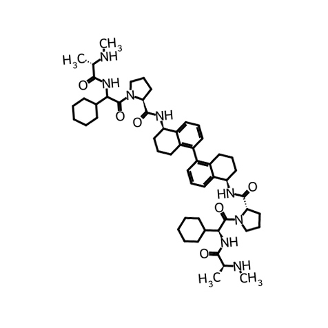 CN[C@@H](C)C(=O)NC(C(=O)N1CCC[C@H]1C(=O)N[C@@H]1CCCc2c(-c3cccc4c3CCC[C@H]4NC(=O)[C@@H]3CCCN3C(=O)[C@@H](NC(=O)[C@H](C)NC)C3CCCCC3)cccc21)C1CCCCC1